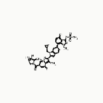 Cc1c(-c2cc3ccc(-c4ccc(Cl)c5c(NS(C)(=O)=O)nn(C)c45)cc3n2CC2CC2)nn2cc(C(=O)N3CC4N[C@H]4C3C)cc(F)c12